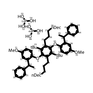 CCCCCCCCCCCCCc1c(Oc2ccc(OC)cc2C(C)c2ccccc2)c(C(C)(C)C)c(CCCCCCCCCCCCC)c(Oc2ccc(OC)cc2C(C)c2ccccc2)c1C(C)(C)C.OP(O)O.OP(O)O